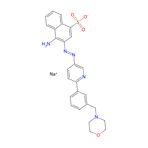 Nc1c(N=Nc2ccc(-c3cccc(CN4CCOCC4)c3)nc2)cc(S(=O)(=O)[O-])c2ccccc12.[Na+]